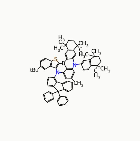 Cc1cc2c3c(c1)N(c1cccc4c1-c1ccccc1C4(c1ccccc1)c1ccccc1)c1c(sc4ccc(C(C)(C)C)cc14)B3c1cc3c(cc1N2c1ccc2c(c1)C(C)(C)CCC2(C)C)C(C)(C)CCC3(C)C